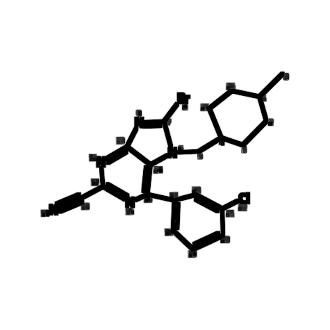 CC1CCC(Cn2c(Br)nc3nc(C#N)nc(-c4cccc(Cl)c4)c32)CC1